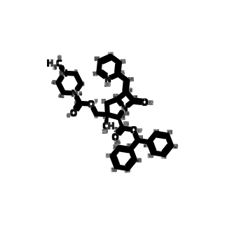 CN1CCN(C(=O)OC[C@]2(C)CC3/C(=C\c4ccccn4)C(=O)N3[C@H]2C(=O)OC(c2ccccc2)c2ccccc2)CC1